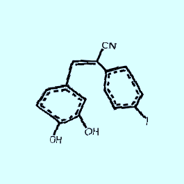 N#CC(=Cc1ccc(O)c(O)c1)c1ccc(I)cc1